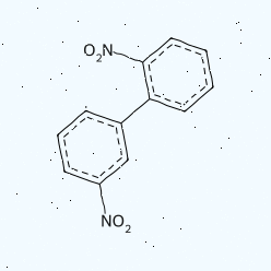 O=[N+]([O-])c1cc[c]c(-c2ccccc2[N+](=O)[O-])c1